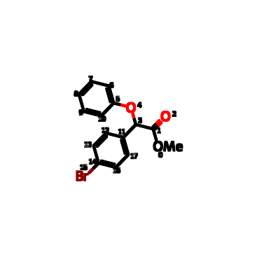 COC(=O)C(Oc1ccccc1)c1ccc(Br)cc1